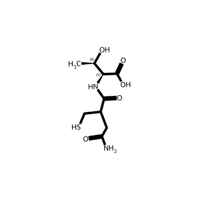 C[C@@H](O)[C@H](NC(=O)C(CS)CC(N)=O)C(=O)O